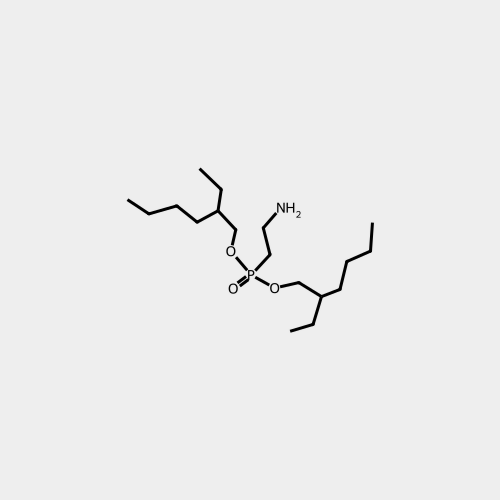 CCCCC(CC)COP(=O)(CCN)OCC(CC)CCCC